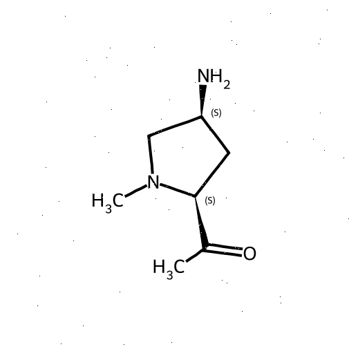 CC(=O)[C@@H]1C[C@H](N)CN1C